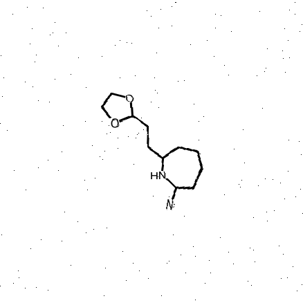 [N]C1CCCCC(CCC2OCCO2)N1